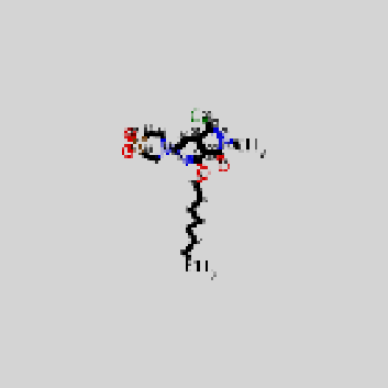 CCCCCCCCOc1nc(N2CCS(=O)(=O)CC2)cc2c(Cl)nn(C)c(=O)c12